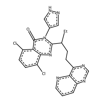 CCC(CCc1ncnc2cccnc12)c1nc2c(Cl)ccc(Cl)c2c(=O)n1-c1cn[nH]c1